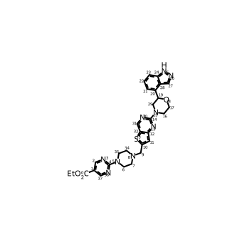 CCOC(=O)c1cnc(N2CCN(Cc3cc4nc(N5CCOC(c6cccc7[nH]ncc67)C5)ncc4s3)CC2)nc1